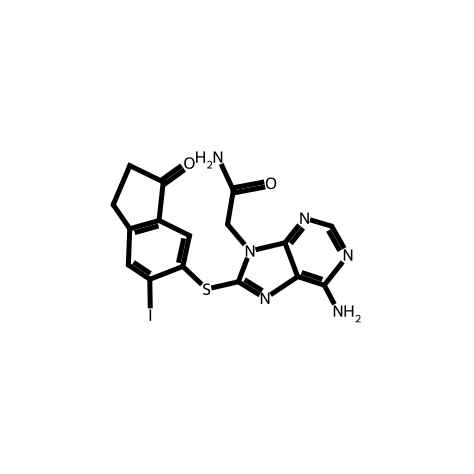 NC(=O)Cn1c(Sc2cc3c(cc2I)CCC3=O)nc2c(N)ncnc21